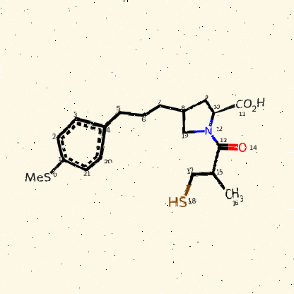 CSc1ccc(CCCC2C[C@@H](C(=O)O)N(C(=O)C(C)CS)C2)cc1